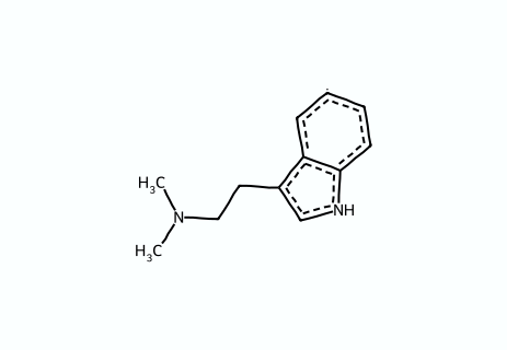 CN(C)CCc1c[nH]c2cc[c]cc12